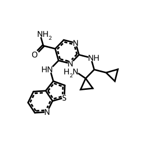 NC(=O)c1cnc(NC(C2CC2)C2(N)CC2)nc1Nc1csc2ncccc12